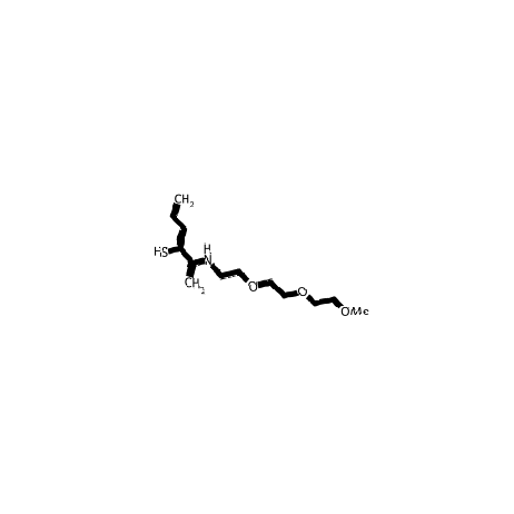 C=C/C=C(\S)C(=C)NCCOCCOCCOC